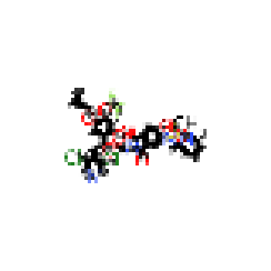 CS(=O)(=O)N(Cc1ccccn1)c1ccc2c(c1)C(=O)N(CC(=O)O[C@@H](Cc1c(Cl)cncc1Cl)c1ccc(OC(F)F)c(OCC3CC3)c1)C2=O